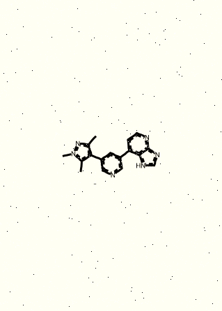 Cc1nn(C)c(C)c1-c1cncc(-c2ccnc3nc[nH]c23)c1